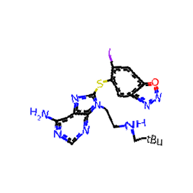 CC(C)(C)CNCCn1c(Sc2cc3nnoc3cc2I)nc2c(N)ncnc21